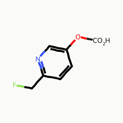 O=C(O)Oc1ccc(CF)nc1